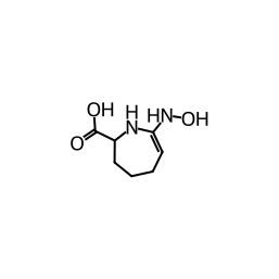 O=C(O)C1CCCC=C(NO)N1